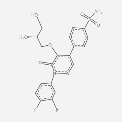 C[C@H](CO)COc1c(-c2ccc(S(N)(=O)=O)cc2)cnn(-c2ccc(F)c(F)c2)c1=O